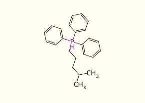 CC(C)CCC[PH](c1ccccc1)(c1ccccc1)c1ccccc1